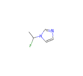 CC(F)n1ccnc1